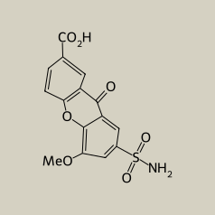 COc1cc(S(N)(=O)=O)cc2c(=O)c3cc(C(=O)O)ccc3oc12